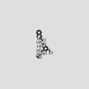 CCSc1cc(C(=O)Nc2ncc[nH]2)c2[nH]c(NC(=O)c3cc4ccccc4cn3)nc2c1